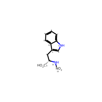 O=C(O)[C@H](Cc1c[nH]c2ccccc12)N[N+](=O)[O-]